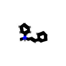 CN(C/C=C/c1ccccc1)c1ccccc1